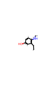 CCc1cc(O)ccc1NC